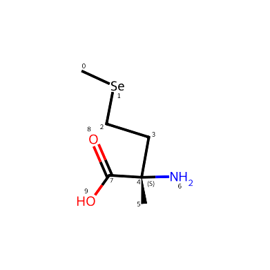 C[Se]CC[C@](C)(N)C(=O)O